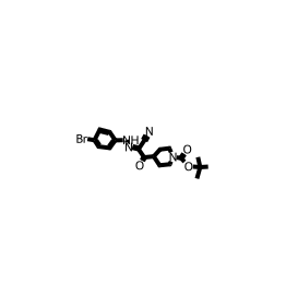 CC(C)(C)OC(=O)N1CCC(C(=O)/C(C#N)=N/Nc2ccc(Br)cc2)CC1